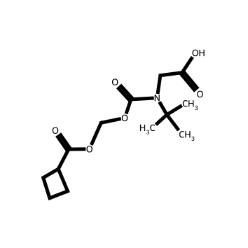 CC(C)(C)N(CC(=O)O)C(=O)OCOC(=O)C1CCC1